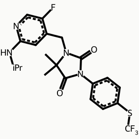 CC(C)Nc1cc(CN2C(=O)N(c3ccc(SC(F)(F)F)cc3)C(=O)C2(C)C)c(F)cn1